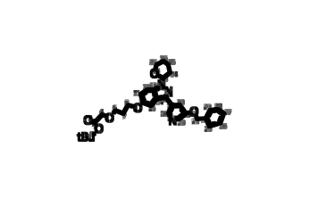 CC(C)(C)OC(=O)COCCCOc1ccc2c(c1)c(-c1cncc(OCc3ccccc3)c1)nn2C1CCCCO1